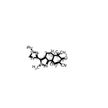 CC(C)n1cnc(-c2c3c(nn2C)C2(C)C=C(C#N)C(=O)C(C)(C)C2CC3)n1